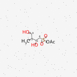 CC(=O)OS(=O)(=O)CC(O)C(C)CO